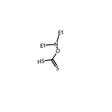 CCN(CC)OC(=S)S